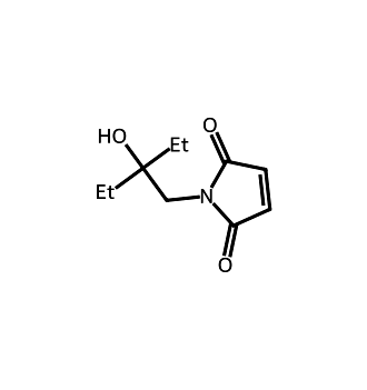 CCC(O)(CC)CN1C(=O)C=CC1=O